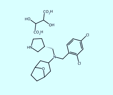 Clc1ccc(CN(C[C@H]2CCNC2)C2CC3CCC(C2)O3)c(Cl)c1.O=C(O)C(O)C(O)C(=O)O